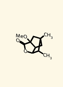 COC12CC3(C)CC1C(OC2=O)C3C